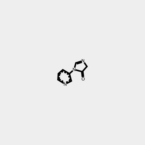 O=C1CN=CN1c1cccnc1